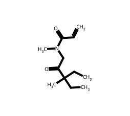 C=CC(=O)N(C)CC(=O)C(C)(CC)CC